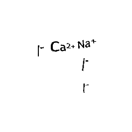 [Ca+2].[I-].[I-].[I-].[Na+]